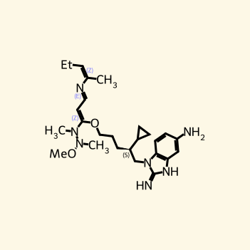 CC\C=C(C)/N=C/C=C(\OCCC[C@H](Cn1c(=N)[nH]c2cc(N)ccc21)C1CC1)N(C)N(C)OC